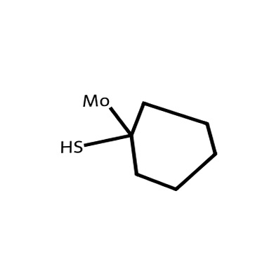 S[C]1([Mo])CCCCC1